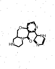 O=C1c2c(ccnc2C2C=NC=CN2)OCC2CNCCN12